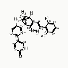 CC1(C)[C@H]2CC[C@]1(c1ccnc(-c3cnc(=O)[nH]c3)n1)c1nnc(-c3c(F)cccc3F)cc12